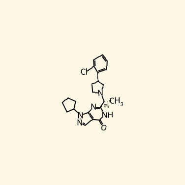 C[C@H](c1nc2c(cnn2C2CCCC2)c(=O)[nH]1)N1CCC(c2ccccc2Cl)C1